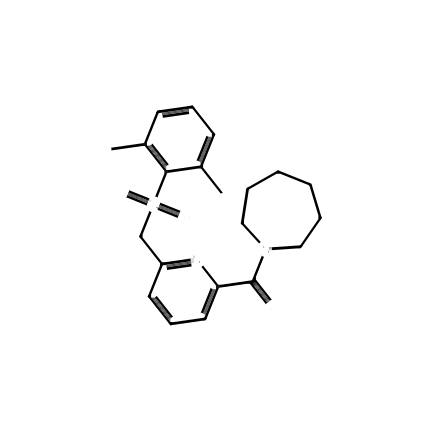 Cc1cccc(C)c1S(=O)(=O)Cc1cccc(C(=O)N2CCCCCC2)n1